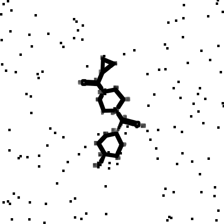 O=C(C1CC1)N1CCN(C(=O)[C@H]2CC[C@H](F)CC2)CC1